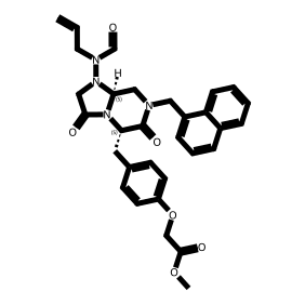 C=CCN(C=O)N1CC(=O)N2[C@@H](Cc3ccc(OCC(=O)OC)cc3)C(=O)N(Cc3cccc4ccccc34)C[C@@H]21